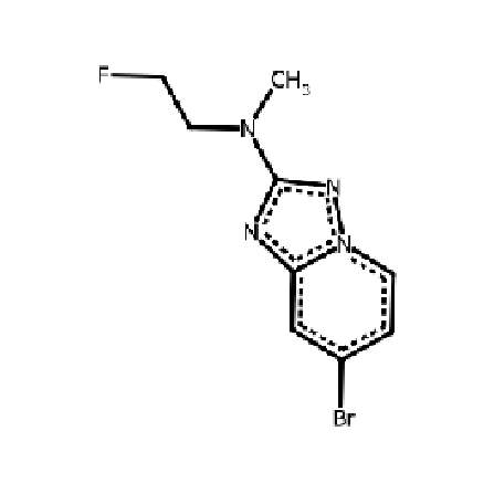 CN(CCF)c1nc2cc(Br)ccn2n1